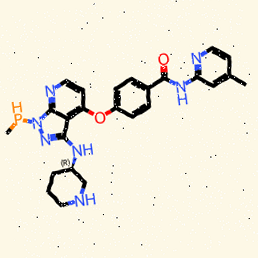 CPn1nc(N[C@@H]2CCCNC2)c2c(Oc3ccc(C(=O)Nc4cc(C)ccn4)cc3)ccnc21